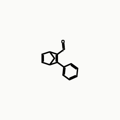 O=PC1=C(c2ccccc2)C2C=CC1C2